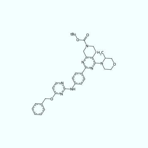 CC1COCCN1c1nc(-c2ccc(Nc3nccc(OCc4ccccc4)n3)cc2)nc2c1CCN(C(=O)OC(C)(C)C)C2